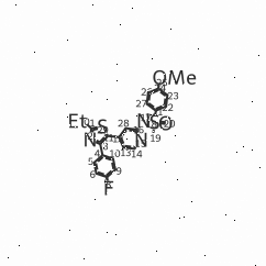 CCc1nc(-c2ccc(F)cc2)c(-c2ccnc(N=S(C)(=O)c3ccc(OC)cc3)c2)s1